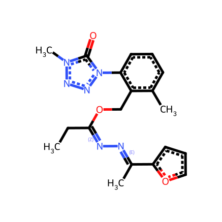 CC/C(=N/N=C(\C)c1ccco1)OCc1c(C)cccc1-n1nnn(C)c1=O